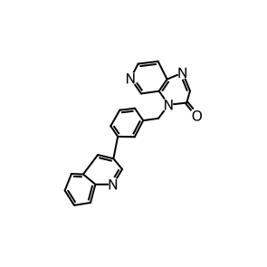 O=c1cnc2ccncc2n1Cc1cccc(-c2cnc3ccccc3c2)c1